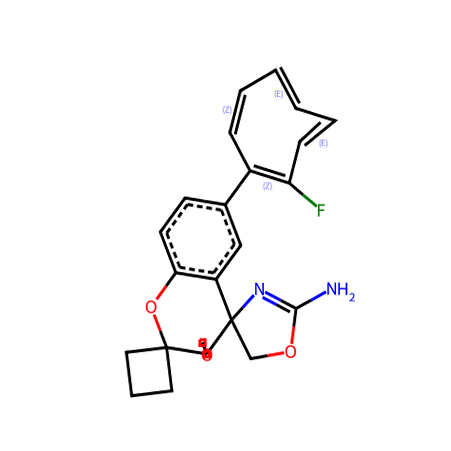 NC1=NC2(CO1)c1cc(C3=C(F)/C=C/C=C/C=C\3)ccc1OC1(CCC1)C21COC1